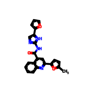 Cc1ccc(-c2cc(C(=O)Nc3ncc(-c4ccco4)[nH]3)c3ccccc3n2)o1